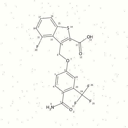 NC(=O)c1ccc(OCc2c(C(=O)O)sc3cccc(F)c23)cc1C(F)(F)F